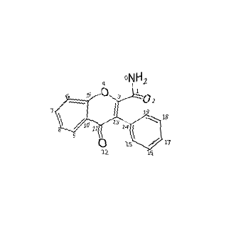 NC(=O)c1oc2ccccc2c(=O)c1-c1ccccc1